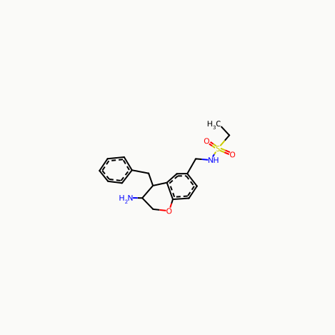 CCS(=O)(=O)NCc1ccc2c(c1)C(Cc1ccccc1)C(N)CO2